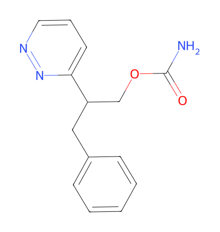 NC(=O)OCC(Cc1ccccc1)c1cccnn1